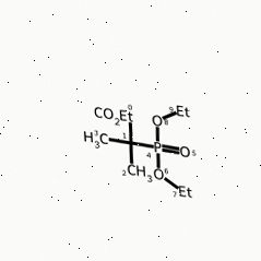 CCOC(=O)C(C)(C)P(=O)(OCC)OCC